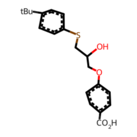 CC(C)(C)c1ccc(SCC(O)COc2ccc(C(=O)O)cc2)cc1